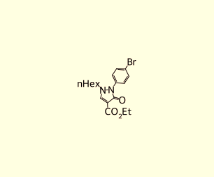 CCCCCCn1cc(C(=O)OCC)c(=O)n1-c1ccc(Br)cc1